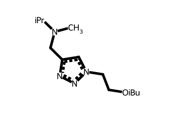 CC(C)COCCn1cc(CN(C)C(C)C)nn1